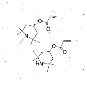 C=CC(=O)OC1CC(C)(C)N(C)C(C)(C)C1.C=CC(=O)OC1CC(C)(C)NC(C)(C)C1